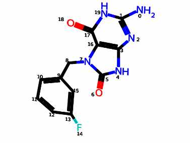 Nc1nc2[nH]c(=O)n(Cc3cccc(F)c3)c2c(=O)[nH]1